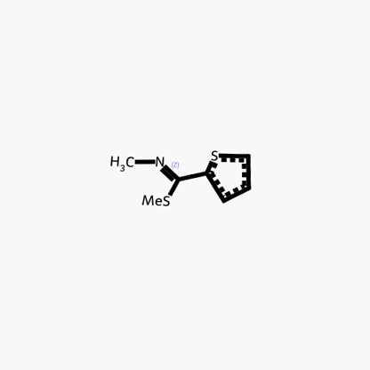 C/N=C(\SC)c1cccs1